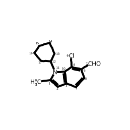 Cc1cc2ccc(C=O)c(Cl)c2n1C1CCCCC1